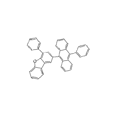 c1ccc(-c2c3ccccc3c(-c3cc(-c4ccccc4)c4oc5ccccc5c4c3)c3ccccc23)cc1